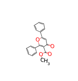 COC(=O)c1c(-c2ccccc2)oc(-c2ccccc2)cc1=O